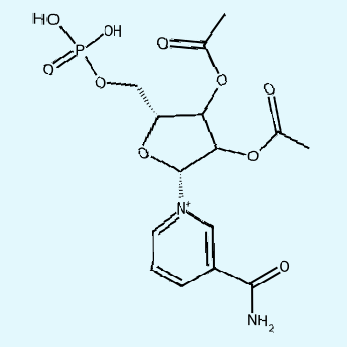 CC(=O)OC1C(OC(C)=O)[C@@H](COP(=O)(O)O)O[C@H]1[n+]1cccc(C(N)=O)c1